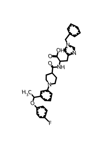 CC(Oc1ccc(F)cc1)c1cccc(N2CCC(C(=O)NC(Cc3cn(Cc4ccccc4)cn3)C(=O)O)CC2)c1